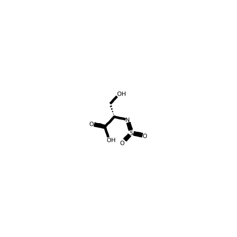 O=C(O)[C@H](CO)N=S(=O)=O